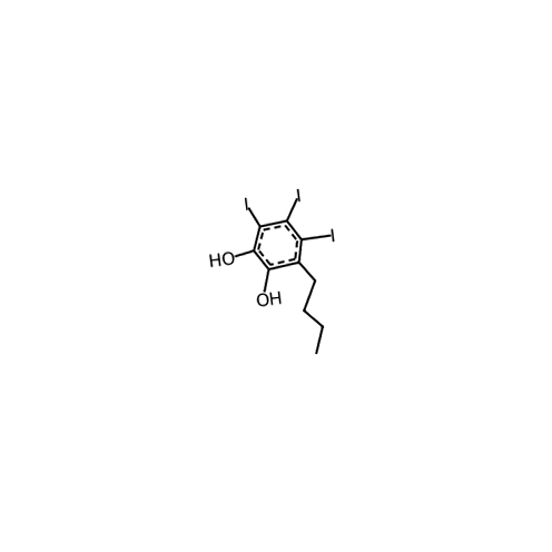 CCCCc1c(O)c(O)c(I)c(I)c1I